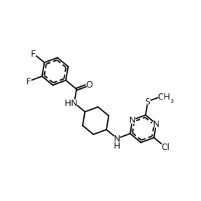 CSc1nc(Cl)cc(NC2CCC(NC(=O)c3ccc(F)c(F)c3)CC2)n1